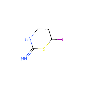 N=C1NCCC(I)S1